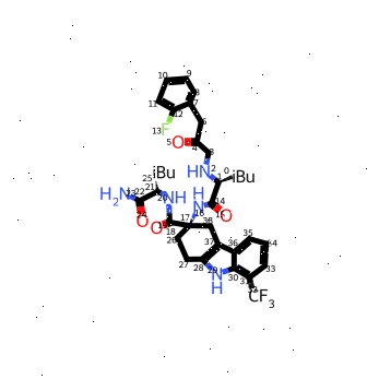 CCC(C)[C@H](NCC(=O)Cc1ccccc1F)C(=O)N[C@]1(C(=O)NC(C(N)=O)[C@@H](C)CC)CCc2[nH]c3c(C(F)(F)F)cccc3c2C1